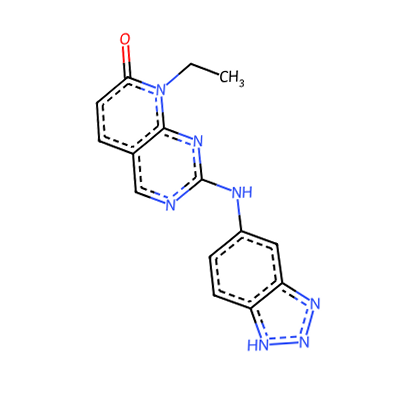 CCn1c(=O)ccc2cnc(Nc3ccc4[nH]nnc4c3)nc21